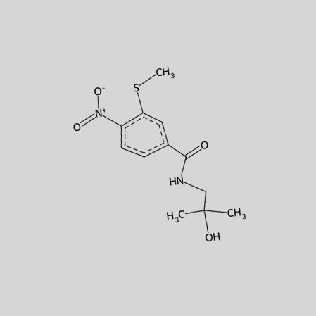 CSc1cc(C(=O)NCC(C)(C)O)ccc1[N+](=O)[O-]